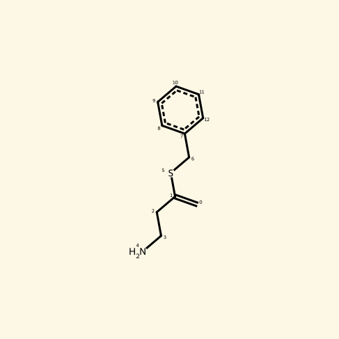 C=C(CCN)SCc1ccccc1